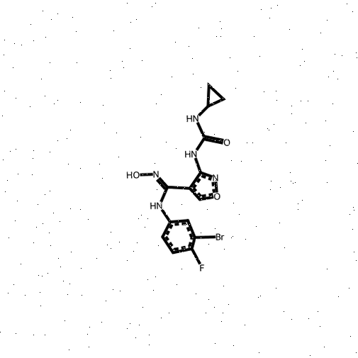 O=C(Nc1nocc1/C(=N/O)Nc1ccc(F)c(Br)c1)NC1CC1